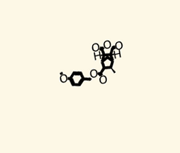 COc1ccc(COC(=O)C2C3CC([C@H]2C)[C@H]2C(=O)OC(=O)[C@@H]32)cc1